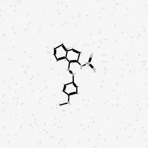 COc1ccc(N=Nc2c(O[SH](=O)=O)ccc3ccccc23)cc1